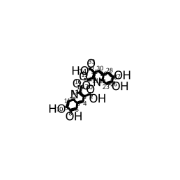 O=C(O)c1cc2cc(O)c(O)cc2nc1C(=O)OC(=O)c1nc2cc(O)c(O)cc2cc1C(=O)O